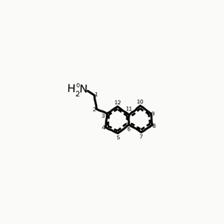 NCCc1ccc2ccccc2c1